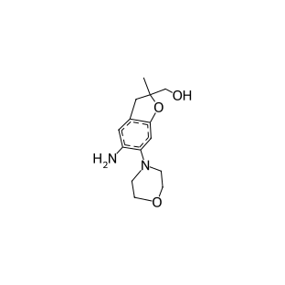 CC1(CO)Cc2cc(N)c(N3CCOCC3)cc2O1